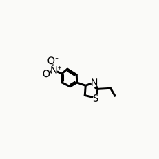 CCC1=NC(c2ccc([N+](=O)[O-])cc2)CS1